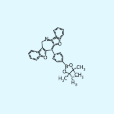 CC1(C)OB(c2ccc(C3=c4oc5ccccc5c4=NCc4c3oc3ccccc43)cc2)OC1(C)C